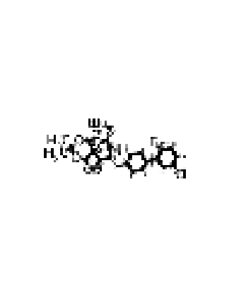 CC(C)(C)OC(=O)N[C@H](Cc1ccc(-c2cc(Cl)ccc2F)cc1)C(=O)C1(C)C(=O)OC(C)(C)OC1=O